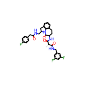 C[C@@H](C(=O)NCc1cc(F)cc(F)c1)C(=O)NC1CCc2cccc3c2N(C1=O)C(CNC(=O)Cc1ccc(F)cc1)C3